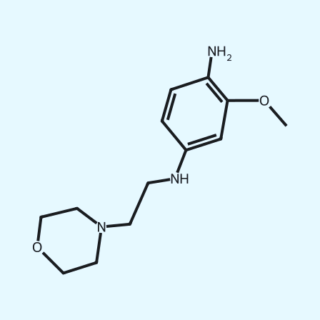 COc1cc(NCCN2CCOCC2)ccc1N